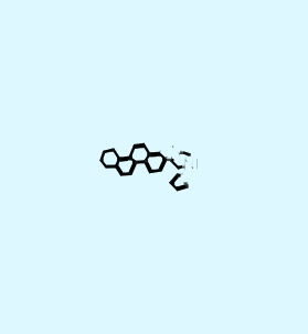 C1CNCN1.c1ccc2c(c1)ccc1c3c(ccc12)CCCC3.c1ccsc1